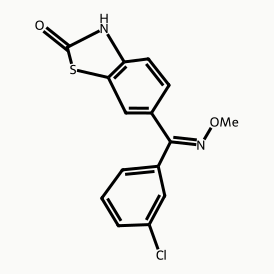 CO/N=C(/c1cccc(Cl)c1)c1ccc2[nH]c(=O)sc2c1